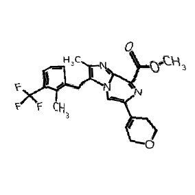 COC(=O)c1nc(C2=CCOCC2)cn2c(Cc3cccc(C(F)(F)F)c3C)c(C)nc12